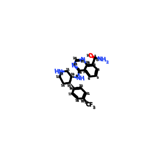 NC(=O)c1cccc2c(N[C@@H]3CNCC[C@H]3c3ccc(C(F)(F)F)cc3)ncnc12